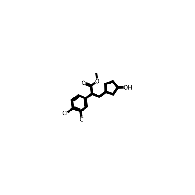 COC(=O)C(CC1CCC(O)C1)c1ccc(Cl)c(Cl)c1